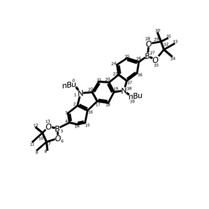 CCCCn1c2cc(B3OC(C)(C)C(C)(C)O3)ccc2c2cc3c(cc21)c1ccc(B2OC(C)(C)C(C)(C)O2)cc1n3CCCC